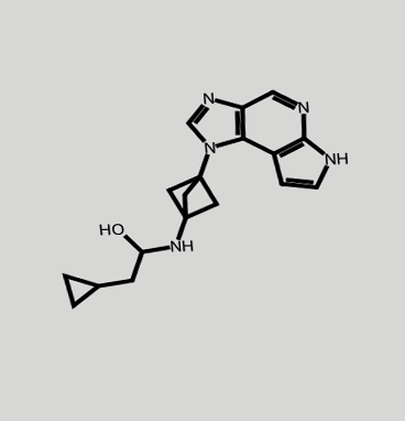 OC(CC1CC1)NC12CC(n3cnc4cnc5[nH]ccc5c43)(C1)C2